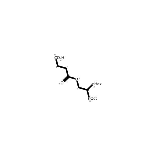 CCCCCCCCC(CCCCCC)COC(=O)CCC(=O)O